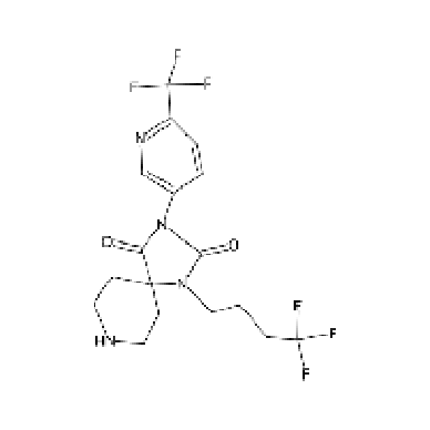 O=C1N(c2ccc(C(F)(F)F)nc2)C(=O)C2(CCNCC2)N1CCCC(F)(F)F